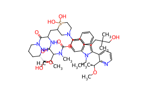 CCn1c(-c2cccnc2[C@H](C)OC)c(CC(C)(C)CO)c2cc(N3CCS(O)(O)C(CC(NC(=O)C(C(C)C)N(C)C(=O)OCc4ccccc4)C(=O)N4CCC[C@@H](C(=O)O)N4)C3)ccc21